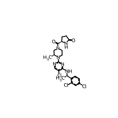 C[C@@H](Nc1nc(N2CCN(C(=O)[C@H]3CCC(=O)N3)C[C@@H]2C)ncc1Cl)c1ccc(Cl)cc1Cl